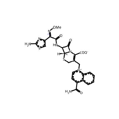 CO/N=C(\C(=O)NC1C(=O)N2C(C(=O)[O-])=C(C[n+]3ccc(C(N)=O)c4ccccc43)CS[C@H]12)c1csc(N)n1